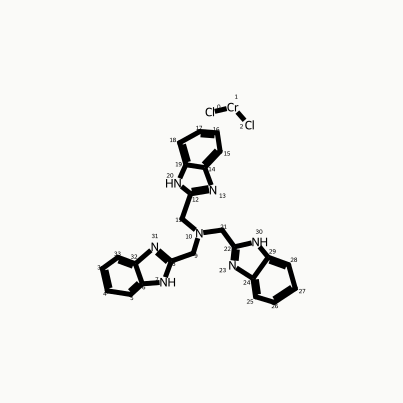 [Cl][Cr][Cl].c1ccc2[nH]c(CN(Cc3nc4ccccc4[nH]3)Cc3nc4ccccc4[nH]3)nc2c1